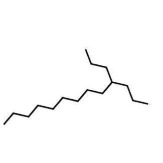 [CH2]CCC(CCC)CCCCCCCCC